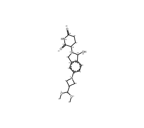 COC(OC)C1CN(c2ccc3c(c2)CN(C2CCC(=O)NC2=O)C3O)C1